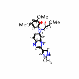 COC[C@@H](O)CN(c1cc(OC)cc(OC)c1)c1ccc2ncc(-c3cnn(C)c3)nc2c1